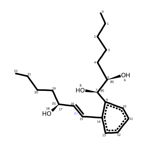 CCCCC[C@@H](O)[C@H](O)c1ccccc1/C=C/[C@@H](O)CCCC